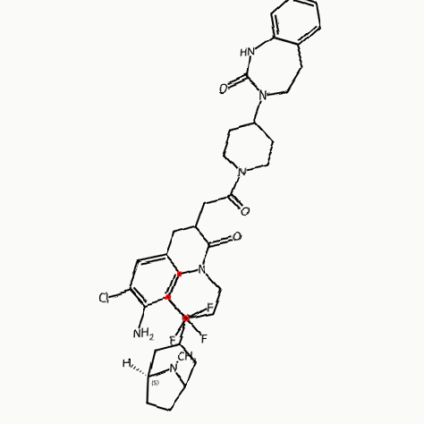 CN1C2CC[C@H]1CC(N1CCN(C(=O)C(CC(=O)N3CCC(N4CCc5ccccc5NC4=O)CC3)Cc3cc(Cl)c(N)c(C(F)(F)F)c3)CC1)C2